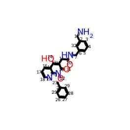 NCc1cccc(CNC(=O)Cc2c(O)c3cccnc3n(OCc3ccccc3)c2=O)c1